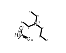 CCCN(CC)CC.O=[PH2]Cl